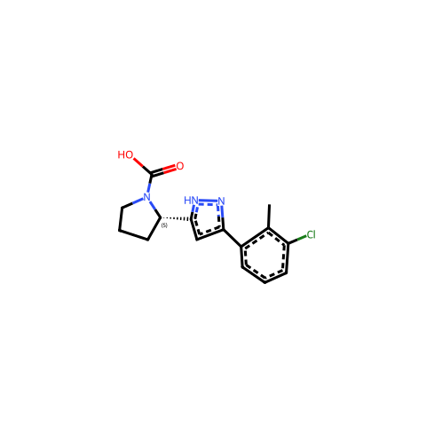 Cc1c(Cl)cccc1-c1cc([C@@H]2CCCN2C(=O)O)[nH]n1